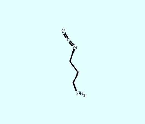 O=C=NCCC[SiH3]